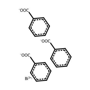 O=C([O-])c1ccccc1.O=C([O-])c1ccccc1.O=C([O-])c1ccccc1.[Bi+3]